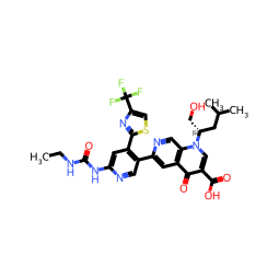 CCNC(=O)Nc1cc(-c2nc(C(F)(F)F)cs2)c(-c2cc3c(=O)c(C(=O)O)cn([C@H](CO)CC(C)C)c3cn2)cn1